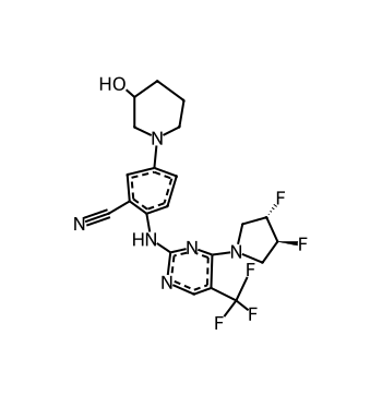 N#Cc1cc(N2CCCC(O)C2)ccc1Nc1ncc(C(F)(F)F)c(N2C[C@H](F)[C@@H](F)C2)n1